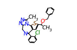 Cc1nnc2n1-c1sc(C(C)OCc3ccccc3)cc1C(c1ccccc1Cl)=NC2